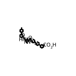 Cc1ccc(C2CCC[C@H](CNc3ncnc(C(=O)N4CCC(N5CCC(c6cccc(C(=O)O)c6)CC5)CC4)c3C)O2)cc1